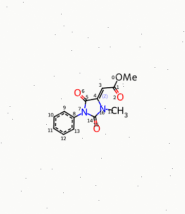 COC(=O)/C=C1/C(=O)N(c2ccccc2)C(=O)N1C